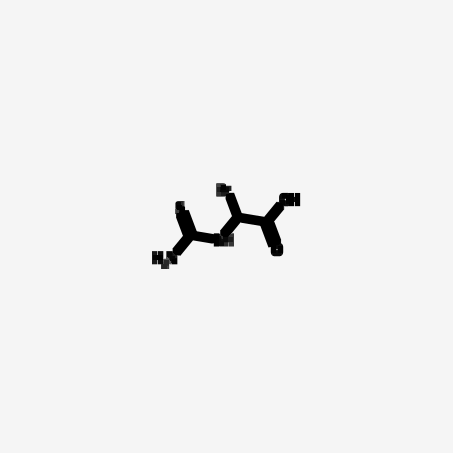 NC(=S)NC(Br)C(=O)O